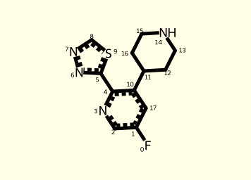 Fc1cnc(-c2nncs2)c(C2CCNCC2)c1